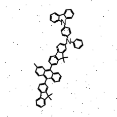 Cc1ccc2c(-c3ccc4c(c3)C(C)(C)c3ccccc3-4)c3ccccc3c(-c3ccc4c(c3)C(C)(C)c3cc(N(c5ccccc5)c5ccc(-n6c7ccccc7c7ccccc76)cc5)ccc3-4)c2c1